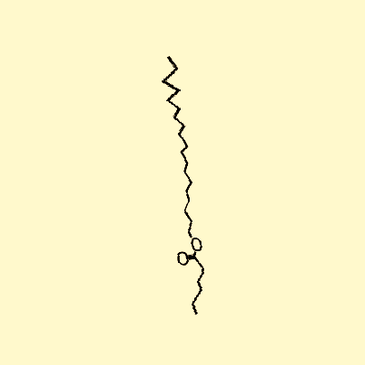 CCCCCCCCCCCCCCCCCCCOC(=O)CCCCC